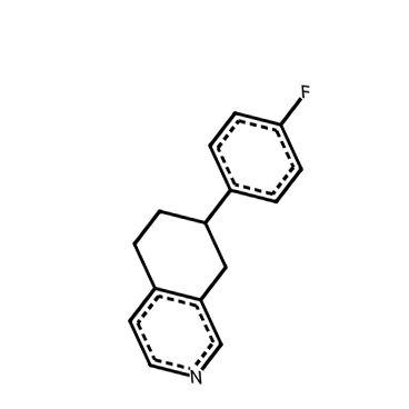 Fc1ccc(C2CCc3ccncc3C2)cc1